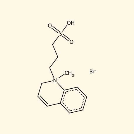 C[N+]1(CCCS(=O)(=O)O)CC=Cc2ccccc21.[Br-]